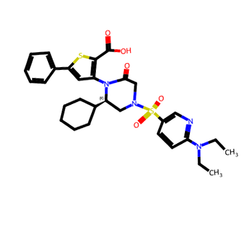 CCN(CC)c1ccc(S(=O)(=O)N2CC(=O)N(c3cc(-c4ccccc4)sc3C(=O)O)[C@H](C3CCCCC3)C2)cn1